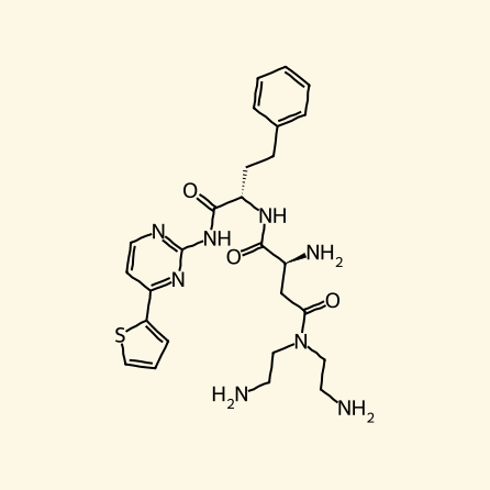 NCCN(CCN)C(=O)C[C@H](N)C(=O)N[C@@H](CCc1ccccc1)C(=O)Nc1nccc(-c2cccs2)n1